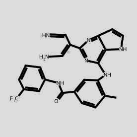 Cc1ccc(C(=O)Nc2cccc(C(F)(F)F)c2)cc1Nc1nc(/C(C=N)=C/N)nc2cc[nH]c12